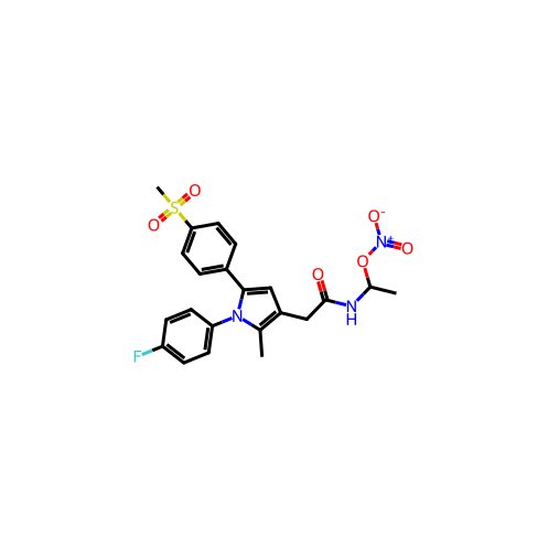 Cc1c(CC(=O)NC(C)O[N+](=O)[O-])cc(-c2ccc(S(C)(=O)=O)cc2)n1-c1ccc(F)cc1